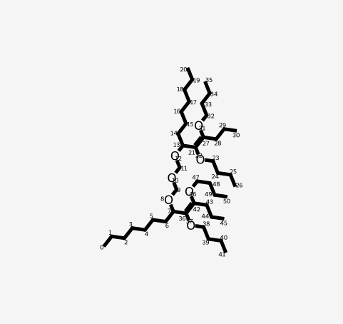 CCCCCCCC(OCOCOC(CCCCCCC)C(OCCCC)=C(CCC)OCCCC)C(OCCCC)=C(CCC)OCCCC